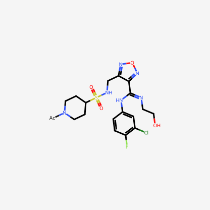 CC(=O)N1CCC(S(=O)(=O)NCc2nonc2/C(=N/CCO)Nc2ccc(F)c(Cl)c2)CC1